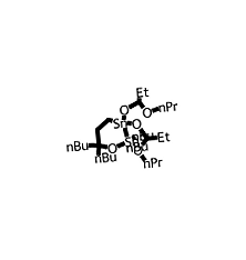 CCCCC1(CCCC)C[CH2][Sn]([O]C(CC)OCCC)([O]C(CC)OCCC)[Sn]([CH2]CCC)([CH2]CCC)[O]1